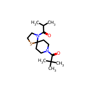 CC(C)C(=O)N1CCSC12CCN(C(=O)C(C)(C)C)CC2